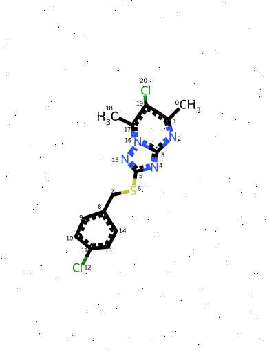 Cc1nc2nc(SCc3ccc(Cl)cc3)nn2c(C)c1Cl